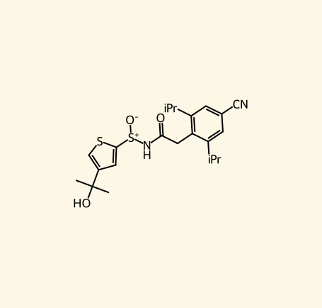 CC(C)c1cc(C#N)cc(C(C)C)c1CC(=O)N[S+]([O-])c1cc(C(C)(C)O)cs1